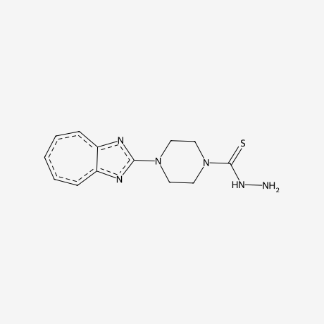 NNC(=S)N1CCN(c2nc3cccccc-3n2)CC1